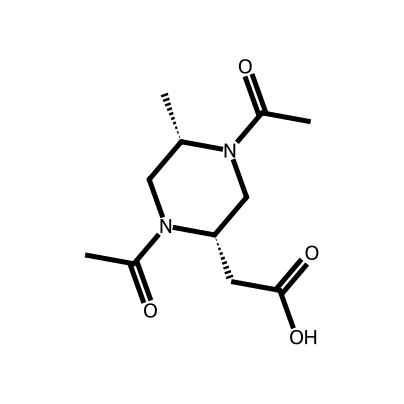 CC(=O)N1C[C@H](C)N(C(C)=O)C[C@@H]1CC(=O)O